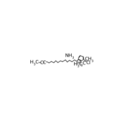 CCCCCCCCCCCCCCCCCCc1cccc(C(C)(C)Cl)c1C.N